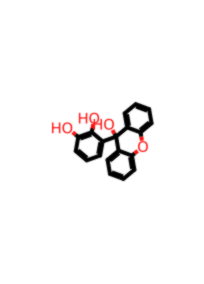 Oc1cccc(C2(O)c3ccccc3Oc3ccccc32)c1O